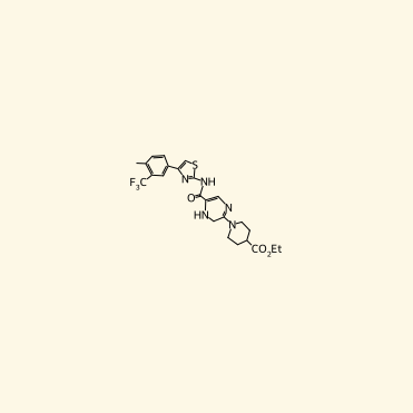 CCOC(=O)C1CCN(C2=NC=C(C(=O)Nc3nc(-c4ccc(C)c(C(F)(F)F)c4)cs3)NC2)CC1